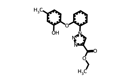 CCOC(=O)c1cn(-c2ccccc2Oc2ccc(C)cc2O)nn1